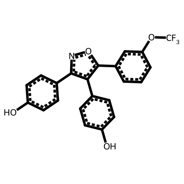 Oc1ccc(-c2noc(-c3cccc(OC(F)(F)F)c3)c2-c2ccc(O)cc2)cc1